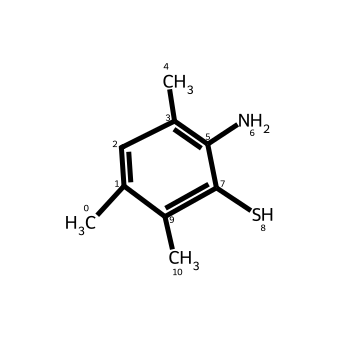 Cc1cc(C)c(N)c(S)c1C